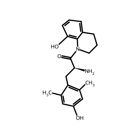 Cc1cc(O)cc(C)c1C[C@H](N)C(=O)N1CCCc2cccc(O)c21